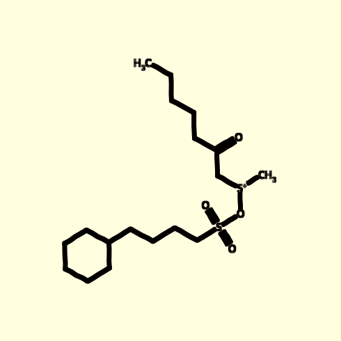 CCCCCC(=O)C[S+](C)OS(=O)(=O)CCCCC1CCCCC1